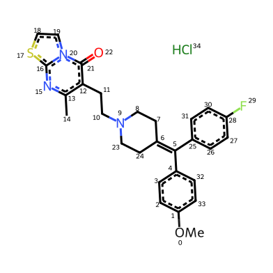 COc1ccc(C(=C2CCN(CCc3c(C)nc4sccn4c3=O)CC2)c2ccc(F)cc2)cc1.Cl